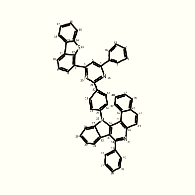 c1ccc(-c2cc(-c3cccc4c3sc3ccccc34)nc(-c3ccc(-n4c5ccccc5c5c(-c6ccccc6)nc6ccc7ccccc7c6c54)cc3)n2)cc1